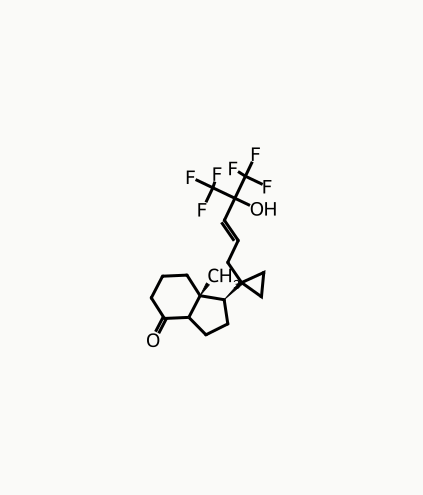 C[C@]12CCCC(=O)C1CC[C@@H]2C1(C/C=C/C(O)(C(F)(F)F)C(F)(F)F)CC1